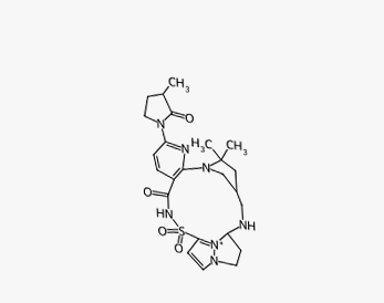 CC1CCN(c2ccc3c(n2)N2CC(CNC4CCn5ccc([n+]54)S(=O)(=O)NC3=O)CC2(C)C)C1=O